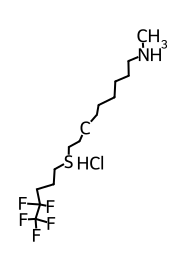 CNCCCCCCCCCSCCCC(F)(F)C(F)(F)F.Cl